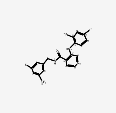 O=C(NCc1cc(F)cc(C(F)(F)F)c1)c1ccncc1Nc1ccc(I)cc1F